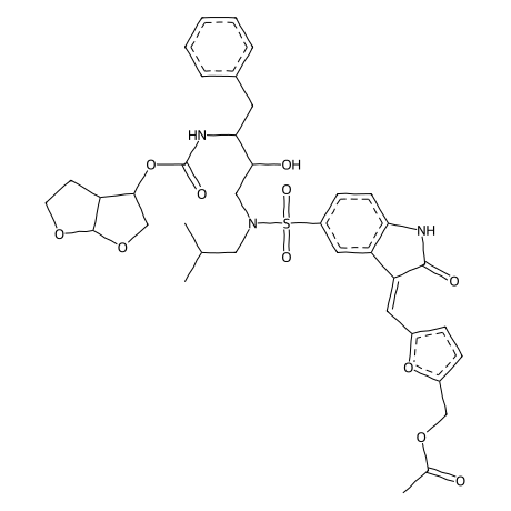 CC(=O)OCc1ccc(C=C2C(=O)Nc3ccc(S(=O)(=O)N(CC(C)C)CC(O)C(Cc4ccccc4)NC(=O)OC4COC5OCCC45)cc32)o1